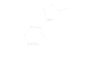 [CH2]C1=CNN(c2ccc(Br)cc2)O1